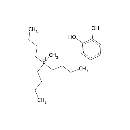 CCCC[PH](C)(CCCC)CCCC.Oc1ccccc1O